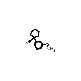 COc1cccc(C2(C#N)CCCCC2)c1